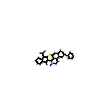 Cc1c2c(c(C(C)C)c3ccccc13)Sc1cc3ccc(-c4ccccc4)cc3c3cc[n+](C)c-2c13